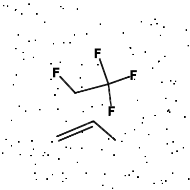 C=CC.FCC(F)(F)F